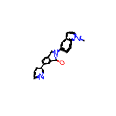 Cn1ccc2cc(N3Cc4ccc(-c5cccnc5)cc4C3=O)ccc21